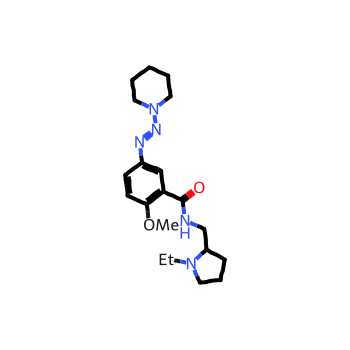 CCN1CCCC1CNC(=O)c1cc(N=NN2CCCCC2)ccc1OC